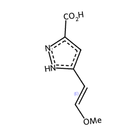 CO/C=C/c1cc(C(=O)O)n[nH]1